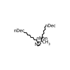 CCCCCCCCCCCCCCCCCC(CCCCCCCCC)c1nccn1C(C)CCCCCCCCCCCCCCCCC